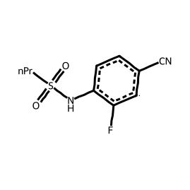 CCCS(=O)(=O)Nc1ccc(C#N)[c]c1F